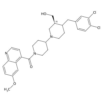 COc1ccc2nccc(C(=O)N3CCC(N4CCC(Cc5ccc(Cl)c(Cl)c5)[C@H](CO)C4)CC3)c2c1